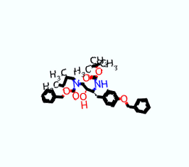 CC[C@H](C)CN(C[C@@H](O)[C@@H](Cc1ccc(OCc2ccccc2)cc1)NC(=O)OC(C)(C)C)C(=O)OCc1ccccc1